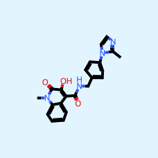 Cc1nccn1-c1ccc(CNC(=O)c2c(O)c(=O)n(C)c3ccccc23)cc1